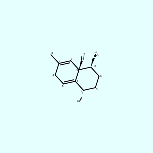 CC1=C[C@H]2C(=CC1)[C@@H](C)CC[C@@H]2C(C)C